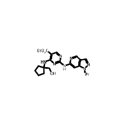 CCOC(=O)c1cnc(Nc2cc3c(cn2)cnn3C(C)C)nc1NC1(CO)CCCC1